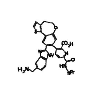 CCCNC(=O)c1ccc(-c2cc3c(cc2-c2nc4cc(CN)ccc4[nH]2)-c2sccc2CCO3)c(C(=O)O)n1